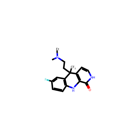 CCN(C)CCC1(C(F)(F)F)c2cc(F)ccc2Nc2c1cc[nH]c2=O